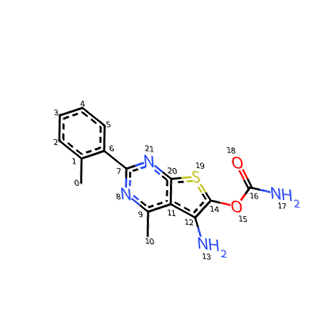 Cc1ccccc1-c1nc(C)c2c(N)c(OC(N)=O)sc2n1